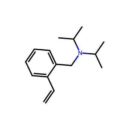 C=Cc1ccccc1CN(C(C)C)C(C)C